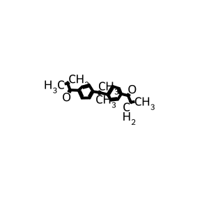 C=C(C)C(=O)c1ccc(C(C)(C)c2ccc(C(=O)C(=C)C)cc2)cc1